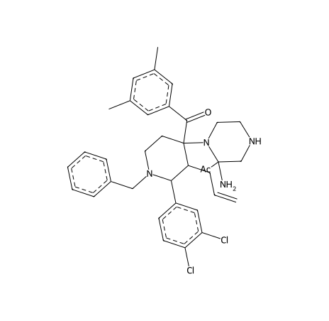 C=CCC1C(c2ccc(Cl)c(Cl)c2)N(Cc2ccccc2)CCC1(C(=O)c1cc(C)cc(C)c1)N1CCNCC1(N)C(C)=O